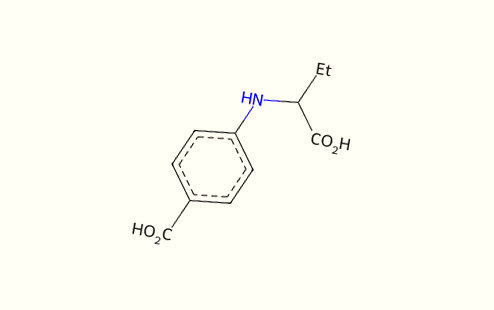 CCC(Nc1ccc(C(=O)O)cc1)C(=O)O